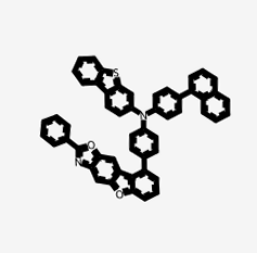 c1ccc(-c2nc3cc4oc5cccc(-c6ccc(N(c7ccc(-c8cccc9ccccc89)cc7)c7ccc8c(c7)sc7ccccc78)cc6)c5c4cc3o2)cc1